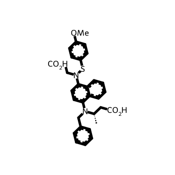 COc1ccc(SN(CC(=O)O)c2ccc(N(Cc3ccccc3)[C@@H](C)CC(=O)O)c3ccccc23)cc1